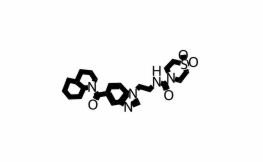 O=C(NCCn1cnc2cc(C(=O)N3CCCC4CCCCC43)ccc21)N1CCS(=O)(=O)CC1